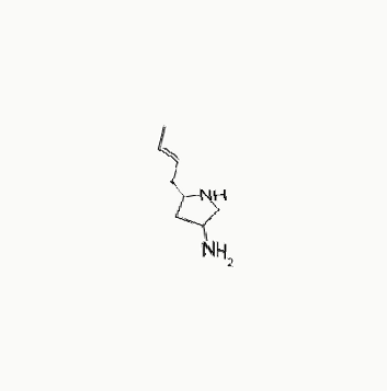 C/C=C/CC1CC(N)CN1